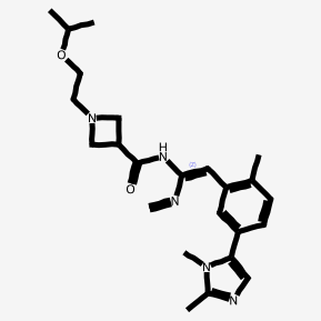 C=N/C(=C\c1cc(-c2cnc(C)n2C)ccc1C)NC(=O)C1CN(CCOC(C)C)C1